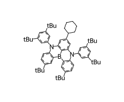 CC(C)(C)c1cc(N2c3ccc(C(C)(C)C)cc3B3c4cc(C(C)(C)C)ccc4N(c4cc(C(C)(C)C)cc(C(C)(C)C)c4)c4cc(C5CCCCC5)cc2c43)cc(C(C)(C)C)c1